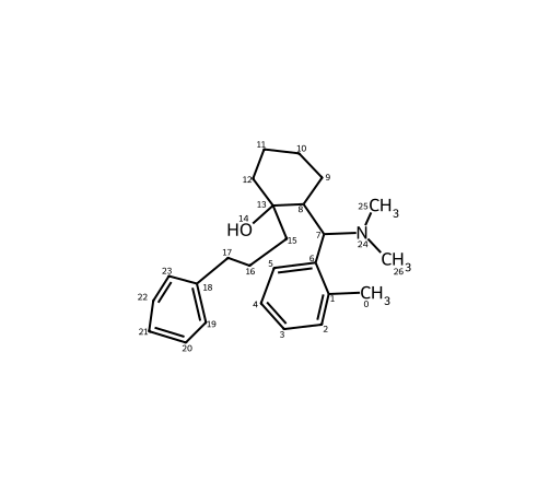 Cc1ccccc1C(C1CCCCC1(O)CCCc1ccccc1)N(C)C